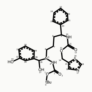 CC(C)(C)OC(=O)NN(CCCC(NC(=O)OCc1cncs1)c1ccccc1)C(O)c1cccc(O)c1